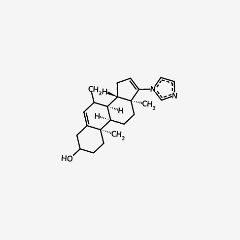 CC1C=C2CC(O)CC[C@]2(C)[C@@H]2CC[C@]3(C)C(n4ccnc4)=CC[C@H]3[C@H]12